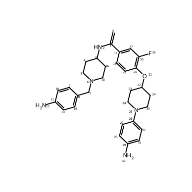 C=C(NC1CCN(Cc2ccc(N)cc2)CC1)c1ccc(OC2CCN(c3ccc(N)cc3)CC2)c(F)c1